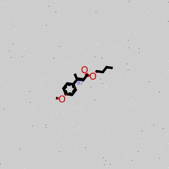 CCCCOC(=O)/C=C(\C)c1ccc(OC)cc1